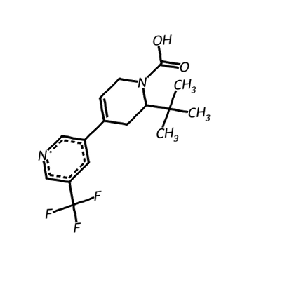 CC(C)(C)C1CC(c2cncc(C(F)(F)F)c2)=CCN1C(=O)O